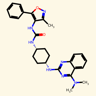 Cc1noc(-c2ccccc2)c1NC(=O)N[C@H]1CC[C@@H](Nc2nc(N(C)C)c3ccccc3n2)CC1